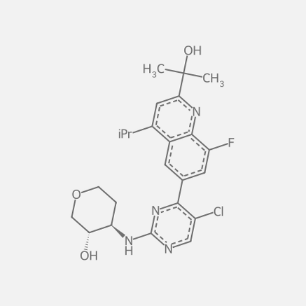 CC(C)c1cc(C(C)(C)O)nc2c(F)cc(-c3nc(N[C@@H]4CCOC[C@H]4O)ncc3Cl)cc12